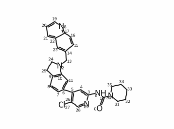 O=C(Nc1cc(-c2ccc3c(c2)N(Cc2ccc4ncccc4c2)CC3)c(Cl)cn1)N1CCCCC1